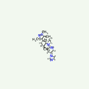 CCN(c1ccc(-n2ccnc2)cn1)c1cc(-c2c(C)nn(C)c2C)ccc1C